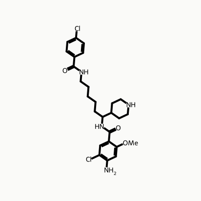 COc1cc(N)c(Cl)cc1C(=O)NC(CCCCCNC(=O)c1ccc(Cl)cc1)C1CCNCC1